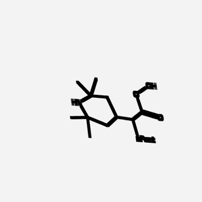 CCCCCC(C(=O)OO)C1CC(C)(C)NC(C)(C)C1